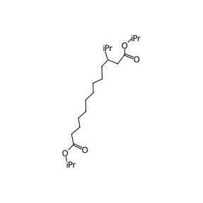 CC(C)OC(=O)CCCCCCCCCC(CC(=O)OC(C)C)C(C)C